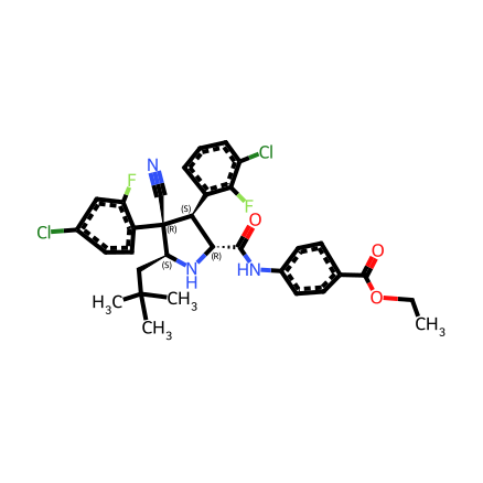 CCOC(=O)c1ccc(NC(=O)[C@@H]2N[C@@H](CC(C)(C)C)[C@](C#N)(c3ccc(Cl)cc3F)[C@H]2c2cccc(Cl)c2F)cc1